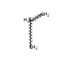 [CH2]CCCCCCCCCCCCCCCCCC(C)CCCCCCCC[CH2]